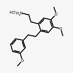 COc1cccc(CCc2cc(OC)c(OC)cc2CCN)c1.Cl